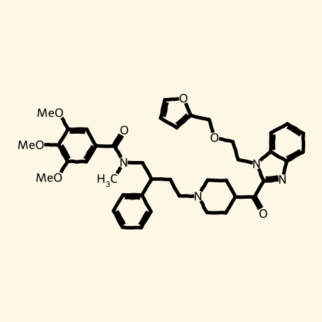 COc1cc(C(=O)N(C)CC(CCN2CCC(C(=O)c3nc4ccccc4n3CCOCc3ccco3)CC2)c2ccccc2)cc(OC)c1OC